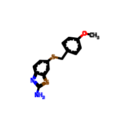 COc1ccc(CSc2ccc3nc(N)sc3c2)cc1